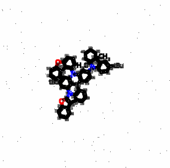 CC(C)(C)c1cc2c3c(c1)-n1c4oc5ccccc5c4c4cccc(c41)B3c1ccc(N3c4ccc(C(C)(C)C)cc4C4(C)CCCCC34C)cc1N2c1cccc2oc3ccccc3c12